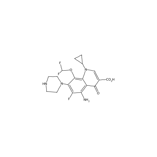 Nc1c(F)c(N2CCNCC2)c(OC(F)F)c2c1c(=O)c(C(=O)O)cn2C1CC1